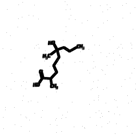 CCCC(C)(O)CCCC(C)C(=O)O